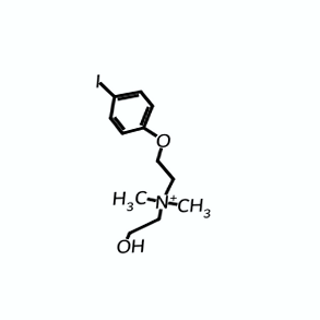 C[N+](C)(CCO)CCOc1ccc(I)cc1